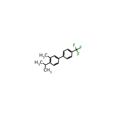 Cc1cc(-c2ccc(C(F)(F)F)cc2)ccc1C(C)C